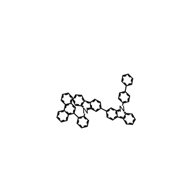 c1ccc(-c2ccc(-n3c4ccccc4c4ccc(-c5ccc6c7ccccc7n(-c7ccccc7-c7cc8ccccc8c8ccccc78)c6c5)cc43)cc2)cc1